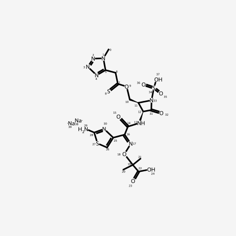 Cn1nnnc1CC(=S)OC[C@@H]1[C@H](NC(=O)C(=NOC(C)(C)C(=O)O)c2csc(N)n2)C(=O)N1S(=O)(=O)O.[Na].[Na]